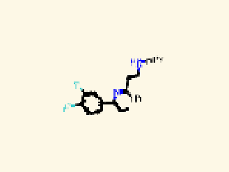 C/C=C(\N=C(/CCC)CCNCCC)c1ccc(F)c(F)c1